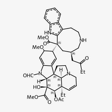 CCC(=O)C[C@@H]1CNCCc2c([nH]c3ccccc23)[C@@](C(=O)OC)(C2C=C3C(=CC2OC)N(C=O)[C@H]2[C@@](O)(C(=O)OC)[C@H](OC(C)=O)[C@]4(CC)C=CCN5CC[C@]32[C@@H]54)C1